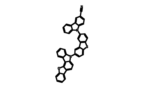 N#Cc1ccc2c(c1)c1ccccc1n2-c1ccc2sc3ccc(-n4c5ccccc5c5c6oc7ccccc7c6ccc54)cc3c2c1